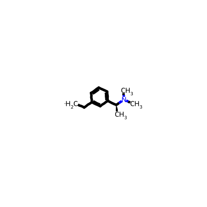 [CH2]Cc1cccc([C@H](C)N(C)C)c1